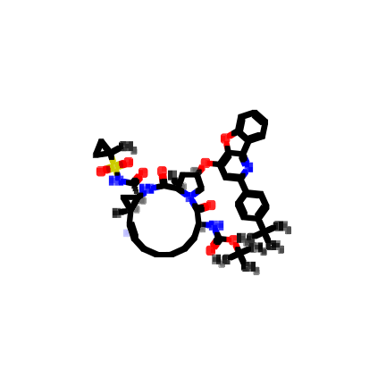 CC(C)(C)OC(=O)N[C@H]1CCCCC/C=C\[C@@H]2C[C@@]2(C(=O)NS(=O)(=O)C2(C)CC2)NC(=O)[C@@H]2C[C@@H](Oc3cc(-c4ccc(C(C)(C)C)cc4)nc4c3oc3ccccc34)CN2C1=O